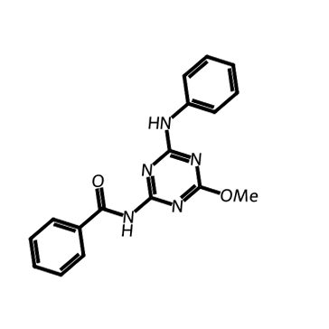 COc1nc(NC(=O)c2ccccc2)nc(Nc2ccccc2)n1